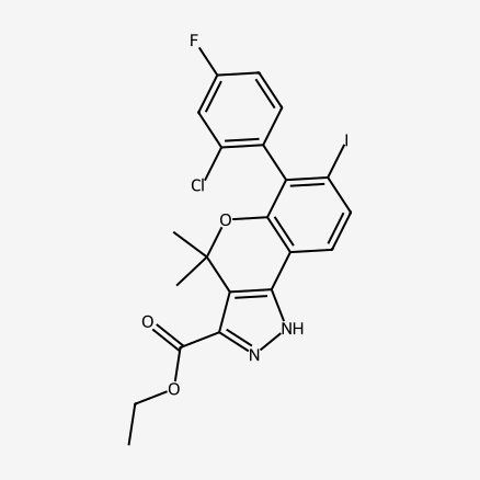 CCOC(=O)c1n[nH]c2c1C(C)(C)Oc1c-2ccc(I)c1-c1ccc(F)cc1Cl